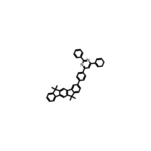 CC1(C)c2ccccc2-c2cc3c(cc21)-c1cc(-c2ccc(-c4cc(C5=CCCC=C5)nc(-c5ccccc5)n4)cc2)ccc1C3(C)C